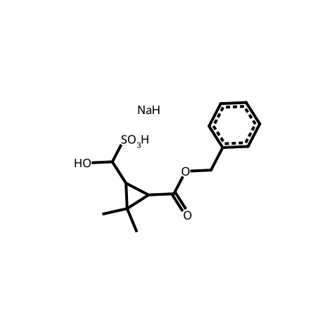 CC1(C)C(C(=O)OCc2ccccc2)C1C(O)S(=O)(=O)O.[NaH]